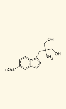 CCCCCCCCc1ccc2c(ccn2CC(N)(CO)CO)c1